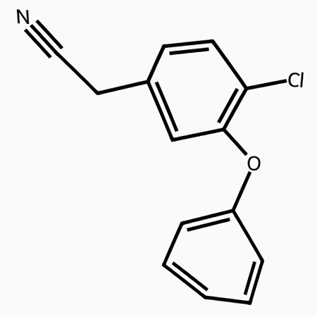 N#CCc1ccc(Cl)c(Oc2ccccc2)c1